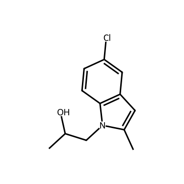 Cc1cc2cc(Cl)ccc2n1CC(C)O